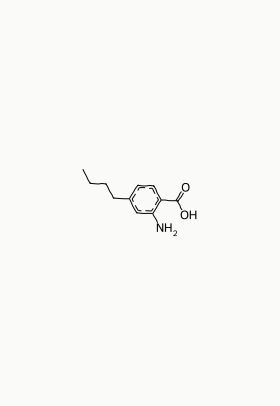 CCCCc1ccc(C(=O)O)c(N)c1